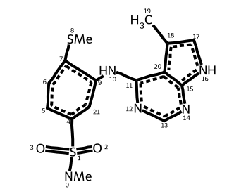 CNS(=O)(=O)c1ccc(SC)c(Nc2ncnc3[nH]cc(C)c23)c1